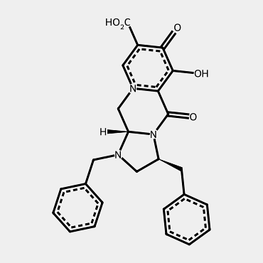 O=C(O)c1cn2c(c(O)c1=O)C(=O)N1[C@@H](Cc3ccccc3)CN(Cc3ccccc3)[C@@H]1C2